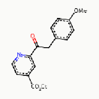 CCOC(=O)c1ccnc(C(=O)Cc2ccc(OC)cc2)c1